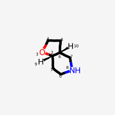 C1C[C@@H]2OCC[C@@H]2CN1